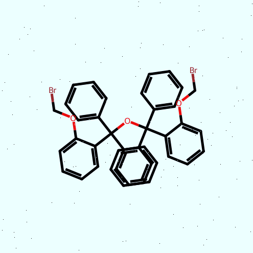 BrCOc1ccccc1C(OC(c1ccccc1)(c1ccccc1)c1ccccc1OCBr)(c1ccccc1)c1ccccc1